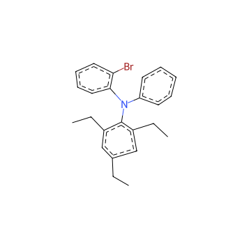 CCc1cc(CC)c(N(c2ccccc2)c2ccccc2Br)c(CC)c1